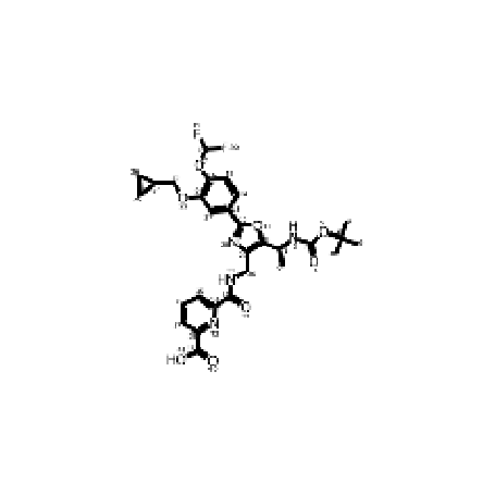 CC(NC(=O)OC(C)(C)C)c1oc(-c2ccc(OC(F)F)c(OCC3CC3)c2)nc1CNC(=O)c1cccc(C(=O)O)n1